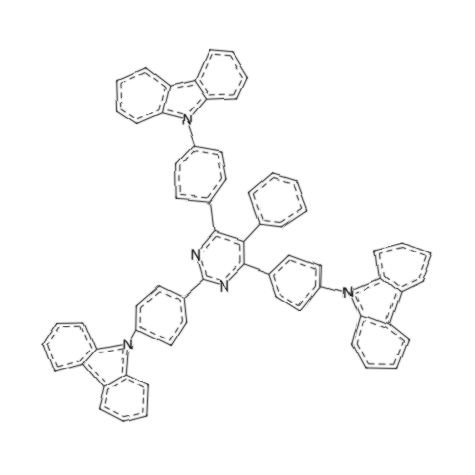 c1ccc(-c2c(-c3ccc(-n4c5ccccc5c5ccccc54)cc3)nc(-c3ccc(-n4c5ccccc5c5ccccc54)cc3)nc2-c2ccc(-n3c4ccccc4c4ccccc43)cc2)cc1